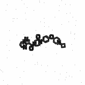 O=C(c1cnn2cccnc12)N1CCN(c2ccc(OC3CCN(C4CCC4)CC3)cc2)C(=O)C1